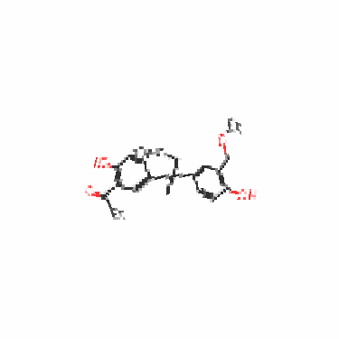 CCCCCCCCCCCC(C)(c1ccc(O)c(COCC)c1)c1ccc(O)c(C(=O)CC)c1